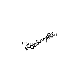 Cc1c(Cl)ccc(S(=O)(=O)CNCCOCC(=O)CNCc2ccc(C3=NCCN3C(=O)O)cc2)c1Cl